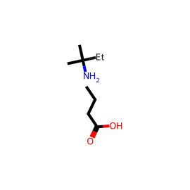 CCC(C)(C)N.CCCC(=O)O